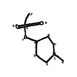 CN1CCC(OS(C)(=O)=O)CC1